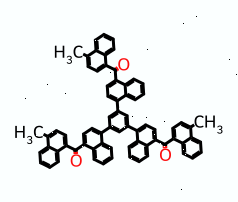 Cc1ccc(C(=O)c2ccc(-c3cc(-c4ccc(C(=O)c5ccc(C)c6ccccc56)c5ccccc45)cc(-c4ccc(C(=O)c5ccc(C)c6ccccc56)c5ccccc45)c3)c3ccccc23)c2ccccc12